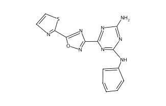 Nc1nc(Nc2ccccc2)nc(-c2noc(-c3nccs3)n2)n1